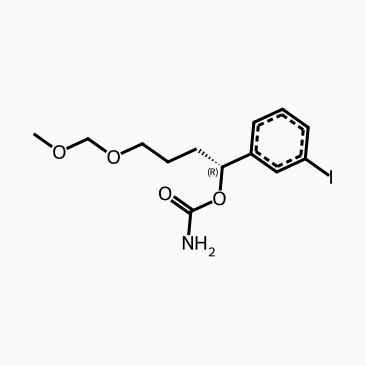 COCOCCC[C@@H](OC(N)=O)c1cccc(I)c1